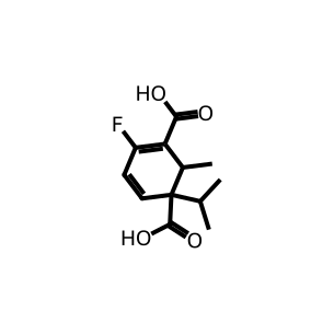 CC(C)C1(C(=O)O)C=CC(F)=C(C(=O)O)C1C